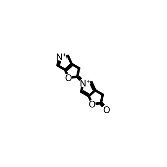 O=C1CC2=C/[N+](=C3\CC4=C(C=[N+]=C4)O3)C=C2O1